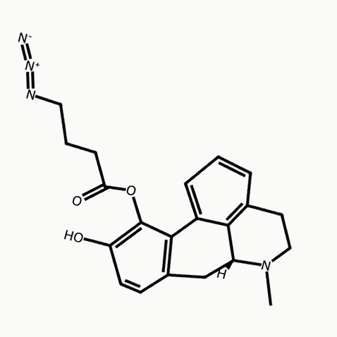 CN1CCc2cccc3c2[C@H]1Cc1ccc(O)c(OC(=O)CCCN=[N+]=[N-])c1-3